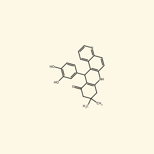 CC1(C)CC(=O)C2=C(C1)Nc1ccc3ncccc3c1C2c1ccc(O)c(O)c1